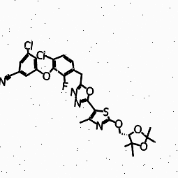 Cc1nc(OC[C@@H]2OC(C)(C)OC2(C)C)sc1-c1nnc(Cc2ccc(Cl)c(Oc3cc(Cl)cc(C#N)c3)c2F)o1